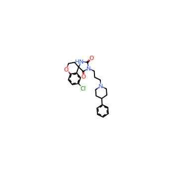 O=C1NC2(CCOc3ccc(Cl)cc32)C(=O)N1CCCN1CCC(c2ccccc2)CC1